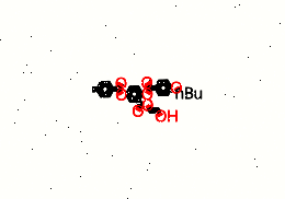 CCCCOc1ccc(C(=O)Oc2ccc(OC(=O)c3ccc(C)cc3)cc2C(=O)OCCO)cc1